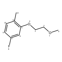 COCCOc1cc(F)ccc1C